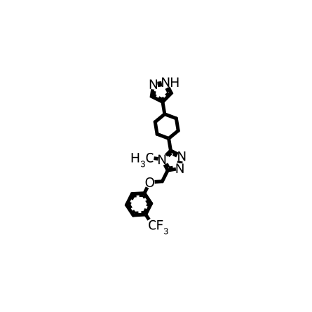 Cn1c(COc2cccc(C(F)(F)F)c2)nnc1C1CCC(c2cn[nH]c2)CC1